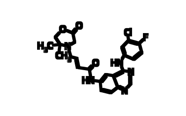 CC1(C)COC(=O)CN1CC=CC(=O)Nc1ccc2ncnc(Nc3ccc(F)c(Cl)c3)c2c1